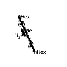 CCCCCC/C=C/CCC(=O)OCCCCCCC(CCCCCCOC(=O)CC/C=C/CCCCCC)CN(C)CCNC